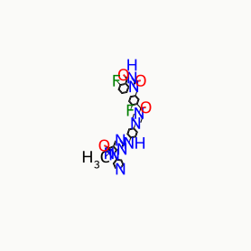 Cn1c(=O)c2cnc(Nc3ccc(N4CCN(C(=O)c5cc(Cn6c(=O)[nH]c(=O)c7c(F)cccc76)ccc5F)CC4)cc3)nc2n1-c1ccncc1